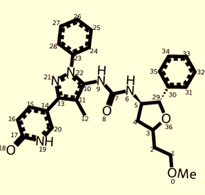 COCCC1C[C@@H](NC(=O)Nc2c(C)c(-c3ccc(=O)[nH]c3)nn2-c2ccccc2)[C@H](c2ccccc2)O1